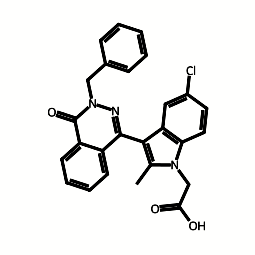 Cc1c(-c2nn(Cc3ccccc3)c(=O)c3ccccc23)c2cc(Cl)ccc2n1CC(=O)O